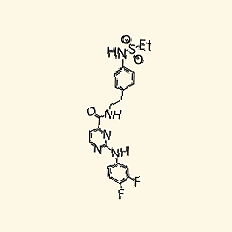 CCS(=O)(=O)Nc1ccc(CCNC(=O)c2ccnc(Nc3ccc(F)c(F)c3)n2)cc1